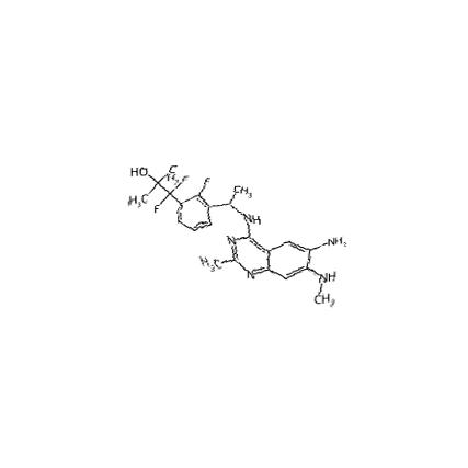 CNc1cc2nc(C)nc(NC(C)c3cccc(C(F)(F)C(C)(C)O)c3F)c2cc1N